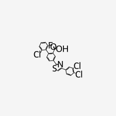 O=C(O)c1cc(-c2nc(-c3ccc(Cl)c(Cl)c3)cs2)ccc1-c1c(F)cccc1Cl